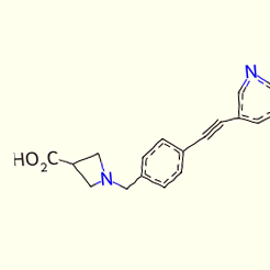 O=C(O)C1CN(Cc2ccc(C#Cc3cccnc3)cc2)C1